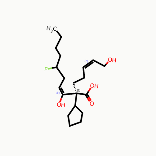 CCCCC(F)C/C=C(/O)[C@@](CC/C=C\CO)(C(=O)O)C1CCCC1